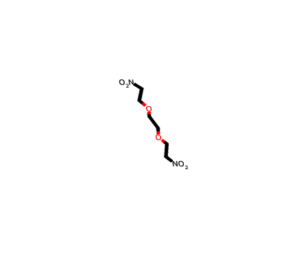 O=[N+]([O-])CCOCCOCC[N+](=O)[O-]